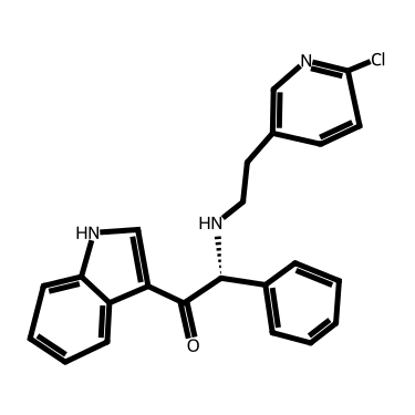 O=C(c1c[nH]c2ccccc12)[C@H](NCCc1ccc(Cl)nc1)c1ccccc1